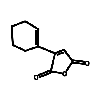 O=C1C=C(C2=CCCCC2)C(=O)O1